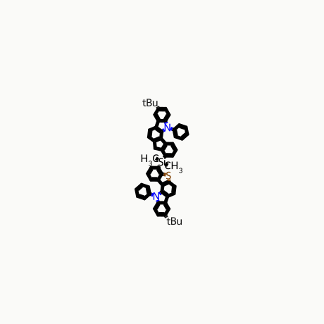 CC(C)(C)c1ccc2c(c1)c1ccc3c(c1n2-c1ccccc1)-c1cccc([Si](C)(C)c2cccc4c2sc2ccc5c6cc(C(C)(C)C)ccc6n(-c6ccccc6)c5c24)c1C3